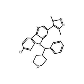 Cc1nnn(C)c1-c1cnc2c3ccc(Cl)cc3n(C(c3ccccc3)C3CCOCC3)c2c1